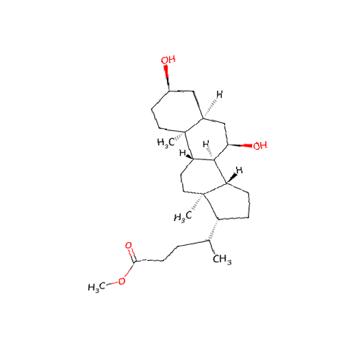 COC(=O)CCC(C)[C@H]1CC[C@H]2[C@@H]3[C@H](O)C[C@@H]4C[C@H](O)CC[C@]4(C)[C@H]3CC[C@]12C